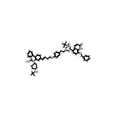 CC(C)(C)N[C@H]1CC[C@H](N(C(=O)O)c2cc(C=CCCOc3ccc(CCNC[C@H](O[Si](C)(C)C(C)(C)C)c4ccc(OCc5ccccc5)c5[nH]c(=O)ccc45)cc3)ccc2-c2ccccc2)CC1